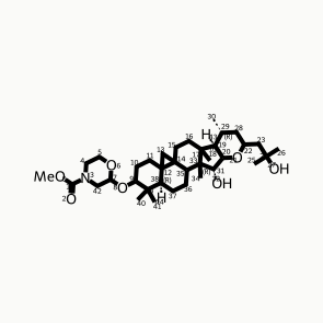 COC(=O)N1CCOC(OC2CCC34CC35CCC3(C)[C@@H]6C(OC(CC(C)(C)O)C[C@H]6C)[C@H](O)C3(C)C5CC[C@H]4C2(C)C)C1